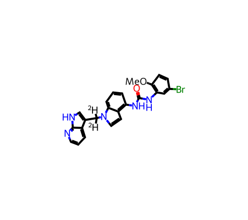 [2H]C([2H])(c1c[nH]c2ncccc12)n1ccc2c(NC(=O)Nc3cc(Br)ccc3OC)cccc21